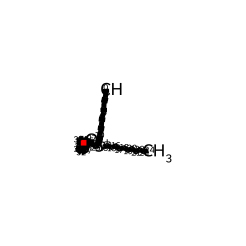 C#CC#CC#CC#CC#CC#C[S+](CCCCCCCCCCCC)CC(=O)C12CC3CC(CC(C3)C1)C2